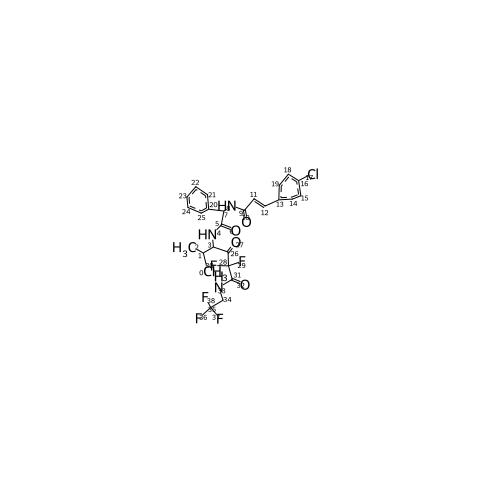 CC(C)C(NC(=O)C(NC(=O)C=Cc1ccc(Cl)cc1)c1ccccc1)C(=O)C(F)(F)C(=O)NCC(F)(F)F